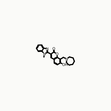 Cn1c(-c2cc3ccc(O)c(CN4CCCCCC4)c3oc2=O)nc2ccccc21